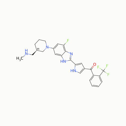 CNC[C@H]1CCCN(c2cc(F)c3nc(-c4cc(C(=O)c5ccccc5C(F)(F)F)c[nH]4)[nH]c3c2)C1